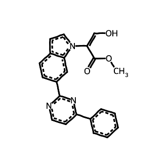 COC(=O)C(=CO)n1ccc2ccc(-c3nccc(-c4ccccc4)n3)cc21